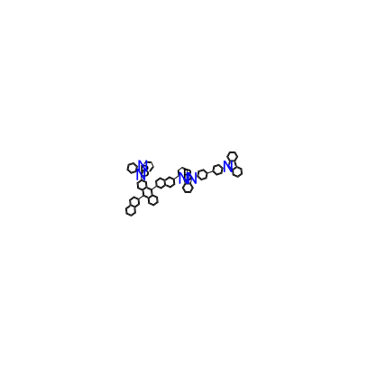 C1=CB2N(C=C1)c1ccccc1N2c1ccc2c(-c3ccc4ccccc4c3)c3ccccc3c(-c3ccc4cc(C5=CC=CB6N5c5ccccc5N6c5ccc(-c6ccc(-n7c8ccccc8c8ccccc87)cc6)cc5)ccc4c3)c2c1